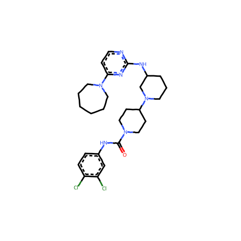 O=C(Nc1ccc(Cl)c(Cl)c1)N1CCC(N2CCCC(Nc3nccc(N4CCCCCC4)n3)C2)CC1